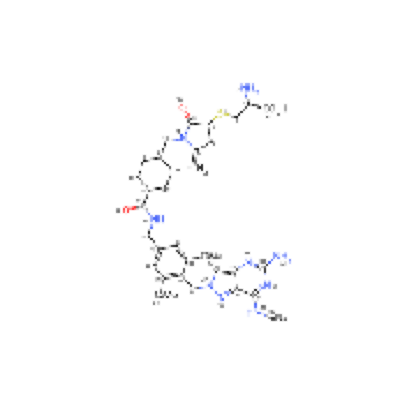 C=C1CC(SC[C@@H](N)C(=O)O)C(=O)N1CC1CCC(C(=O)NCc2cc(OC)c(Cn3cc4nc(N)nc(NCCCC)c4n3)c(OC)c2)CC1